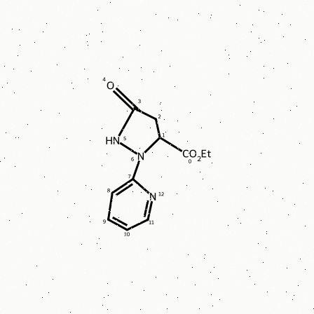 CCOC(=O)C1CC(=O)NN1c1ccccn1